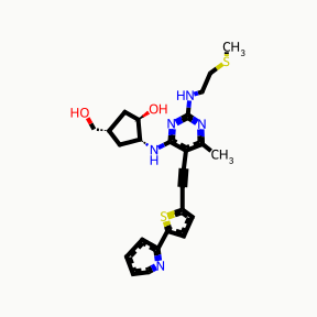 CSCCNc1nc(C)c(C#Cc2ccc(-c3ccccn3)s2)c(N[C@@H]2C[C@H](CO)C[C@H]2O)n1